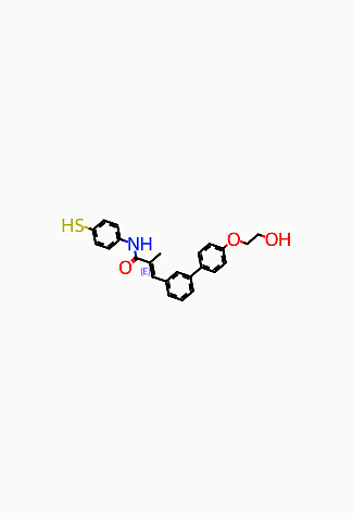 C/C(=C\c1cccc(-c2ccc(OCCO)cc2)c1)C(=O)Nc1ccc(S)cc1